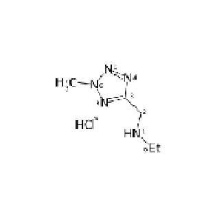 CCNCc1nnn(C)n1.Cl